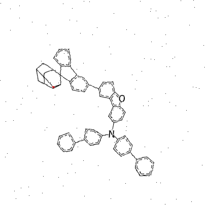 c1ccc(-c2ccc(N(c3ccc(-c4ccccc4)cc3)c3ccc4oc5ccc(-c6ccc7c(c6)-c6ccccc6C76C7CC8CC(C7)CC6C8)cc5c4c3)cc2)cc1